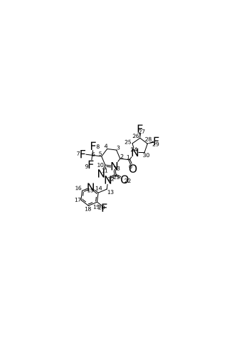 O=C(C1CCC(C(F)(F)F)c2nn(Cc3ncccc3F)c(=O)n21)N1C[C@@H](F)[C@@H](F)C1